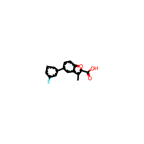 Cc1c(C(=O)O)oc2ccc(-c3cccc(F)c3)cc12